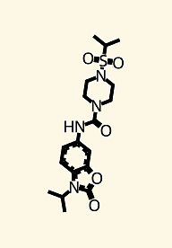 CC(C)n1c(=O)oc2cc(NC(=O)N3CCN(S(=O)(=O)C(C)C)CC3)ccc21